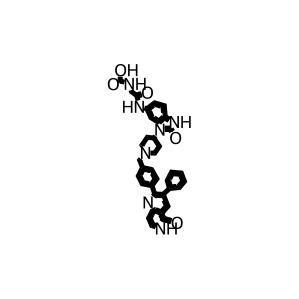 O=C(O)NCC(=O)Nc1ccc2[nH]c(=O)n(C3CCN(Cc4ccc(-c5nc6cc[nH]c(=O)c6cc5-c5ccccc5)cc4)CC3)c2c1